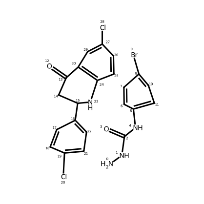 NNC(=O)Nc1ccc(Br)cc1.O=C1CC(c2ccc(Cl)cc2)Nc2ccc(Cl)cc21